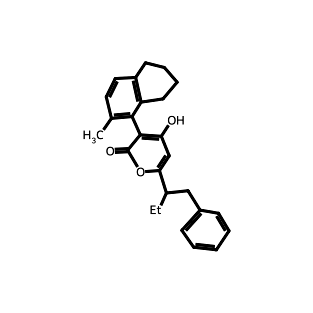 CCC(Cc1ccccc1)c1cc(O)c(-c2c(C)ccc3c2CCCC3)c(=O)o1